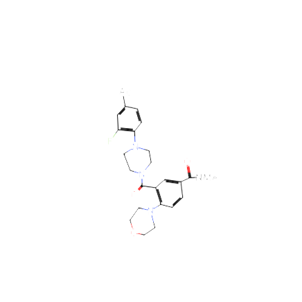 CNC(=O)c1ccc(N2CCOCC2)c(C(=O)N2CCN(c3ccc(C(C)=O)cc3F)CC2)c1